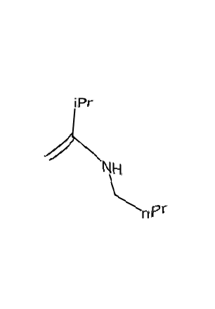 C=C(NCCCC)C(C)C